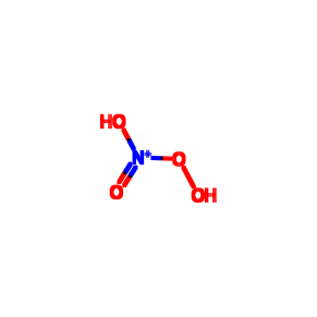 O=[N+](O)OO